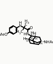 COc1ccc(NC(C)(C)C(=O)N[C@H]2[C@@H]3CC4C[C@H]2C[C@](NC(C)=O)(C4)C3)cc1